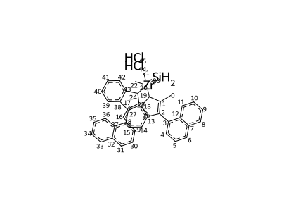 CC1=C(c2cccc3ccccc23)c2ccccc2[CH]1[Zr]([CH3])([CH3])(=[SiH2])[CH]1C(C)=C(c2cccc3ccccc23)c2ccccc21.Cl.Cl